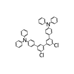 Clc1cc(-c2ccc(N(c3ccccc3)c3ccccc3)cc2)cc(-c2cc(Cl)cc(-c3ccc(N(c4ccccc4)c4ccccc4)cc3)c2)c1